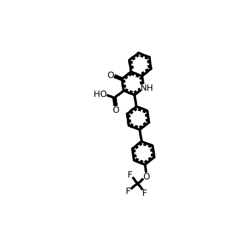 O=C(O)c1c(-c2ccc(-c3ccc(OC(F)(F)F)cc3)cc2)[nH]c2ccccc2c1=O